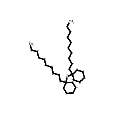 CCCCCCCCCCC1(SC2(CCCCCCCCCC)CCCCC2)CCCCC1